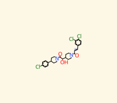 O=C(/C=C/c1ccc(Cl)c(Cl)c1)N1CCC(C(O)C(=O)N2CCC(c3ccc(Cl)cc3)CC2)CC1